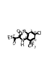 CCC(=O)C(=O)Nc1c([N+](=O)[O-])cc(Cl)cc1C(F)(F)F